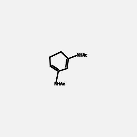 CC(=O)NC1=CCCC(NC(C)=O)=C1